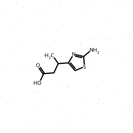 [CH2]C(CC(=O)O)c1csc(N)n1